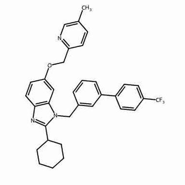 Cc1ccc(COc2ccc3nc(C4CCCCC4)n(Cc4cccc(-c5ccc(C(F)(F)F)cc5)c4)c3c2)nc1